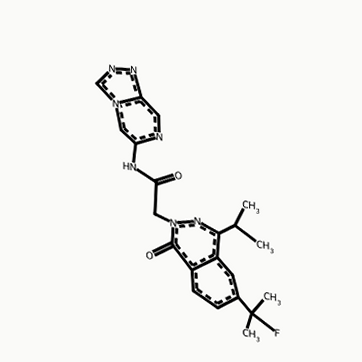 CC(C)c1nn(CC(=O)Nc2cn3cnnc3cn2)c(=O)c2ccc(C(C)(C)F)cc12